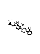 FC1(F)CC1Cc1nnc2c(Br)c(N3CCN(c4ccccc4Cl)CC3)ccn12